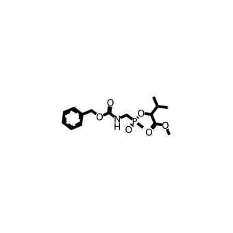 COC(=O)C(OP(C)(=O)CNC(=O)OCc1ccccc1)C(C)C